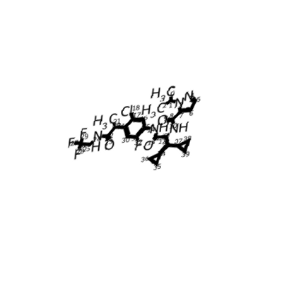 CC(C)n1nccc1C(=O)N[C@H](C(=O)Nc1cc(Cl)c([C@H](C)C(=O)NCC(F)(F)F)cc1F)C(=C1CC1)C1CC1